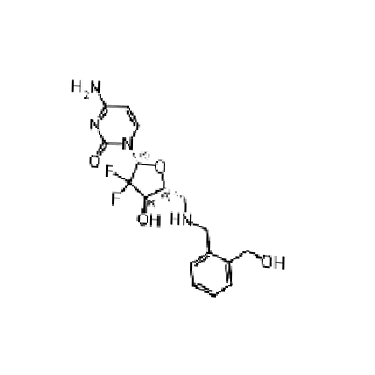 Nc1ccn([C@@H]2O[C@H](CNCc3ccccc3CO)[C@@H](O)C2(F)F)c(=O)n1